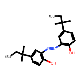 CC(C)(C)CC(C)(C)c1ccc(O)c(N=Nc2cc(C(C)(C)CC(C)(C)C)ccc2O)c1